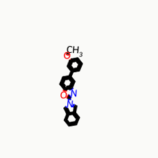 COc1cccc(-c2ccc3oc(N4C=C5CC=CC=C5C4)nc3c2)c1